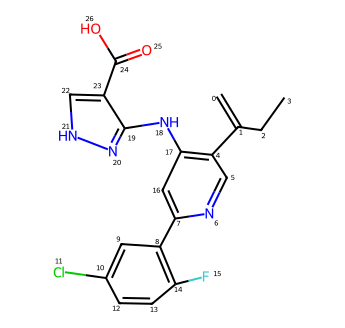 C=C(CC)c1cnc(-c2cc(Cl)ccc2F)cc1Nc1n[nH]cc1C(=O)O